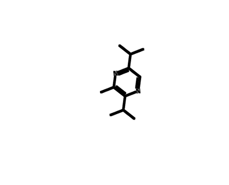 Cc1nc(C(C)C)cnc1C(C)C